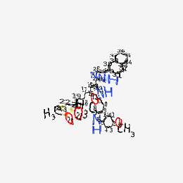 COc1ccc2[nH]c(C)c(CC(=O)N[C@@H](CCCCCC(=O)C[S+](C)[O-])c3ncc(-c4ccc5ccccc5c4)[nH]3)c2c1